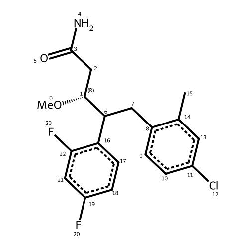 CO[C@H](CC(N)=O)C(Cc1ccc(Cl)cc1C)c1ccc(F)cc1F